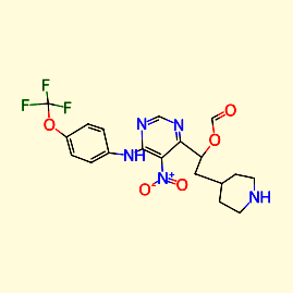 O=COC(CC1CCNCC1)c1ncnc(Nc2ccc(OC(F)(F)F)cc2)c1[N+](=O)[O-]